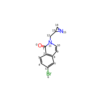 O=c1c2ccc(Br)cc2ccn1CC1C=N1